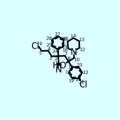 N#CC(CCCCl)(CC(O)(CN1CCCCC1)c1ccc(Cl)cc1)c1ccccc1